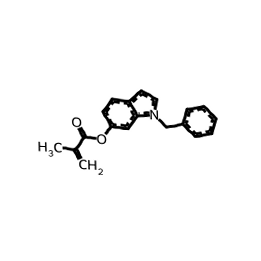 C=C(C)C(=O)Oc1ccc2ccn(Cc3ccccc3)c2c1